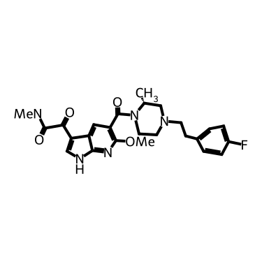 CNC(=O)C(=O)c1c[nH]c2nc(OC)c(C(=O)N3CCN(CCc4ccc(F)cc4)C[C@H]3C)cc12